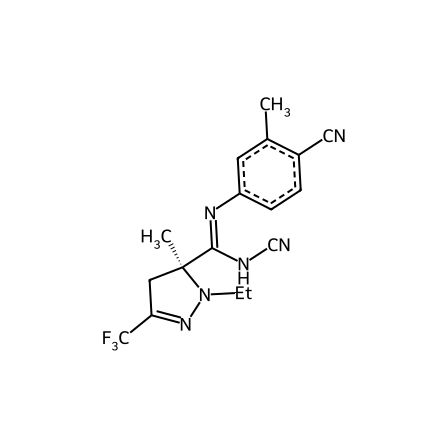 CCN1N=C(C(F)(F)F)C[C@@]1(C)/C(=N/c1ccc(C#N)c(C)c1)NC#N